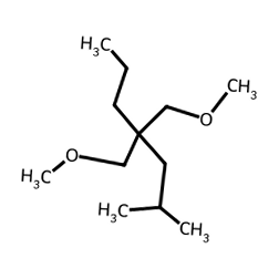 CCCC(COC)(COC)CC(C)C